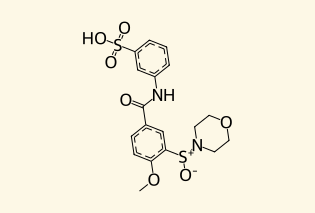 COc1ccc(C(=O)Nc2cccc(S(=O)(=O)O)c2)cc1[S+]([O-])N1CCOCC1